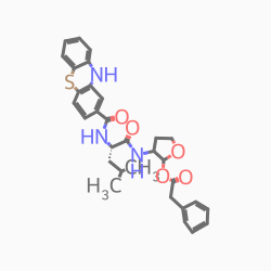 CC(C)C[C@H](NC(=O)c1ccc2c(c1)Nc1ccccc1S2)C(=O)NC1CCOC1OC(=O)Cc1ccccc1